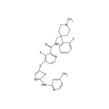 Cc1ccnc(Nc2ncc(Sc3ccnc(C(=O)NCC4(c5ccccc5F)CCN(C)CC4)c3F)s2)c1